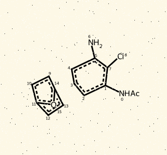 CC(=O)Nc1cccc(N)c1Cl.c1cc2ccc1o2